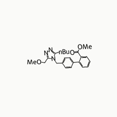 CCCCc1nnc(COC)n1Cc1ccc(-c2ccccc2C(=O)OC)cc1